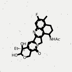 CC[C@]1(O)c2cc3n(c(=O)c2COC1O)Cc1c-3nc2cc(F)c(C)c3c2c1C(NC(C)=O)CC3